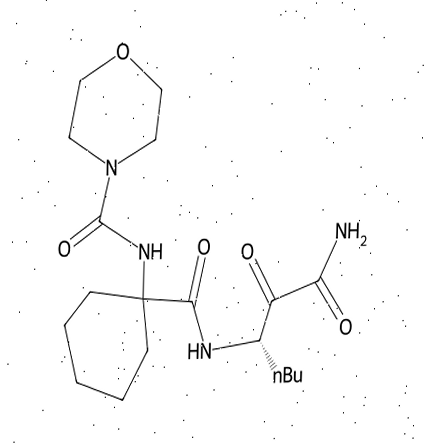 CCCC[C@H](NC(=O)C1(NC(=O)N2CCOCC2)CCCCC1)C(=O)C(N)=O